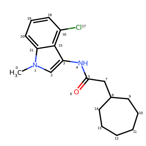 Cn1cc(NC(=O)CC2CCCCCC2)c2c(Cl)cccc21